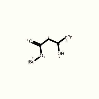 CCCC(O)CC(=O)OC(C)(C)C